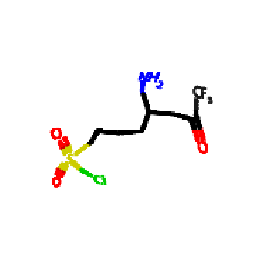 NC(CCS(=O)(=O)Cl)C(=O)C(F)(F)F